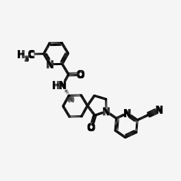 Cc1cccc(C(=O)N[C@H]2CCCC3(CCN(c4cccc(C#N)n4)C3=O)C2)n1